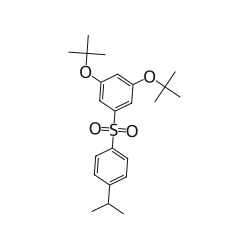 CC(C)c1ccc(S(=O)(=O)c2cc(OC(C)(C)C)cc(OC(C)(C)C)c2)cc1